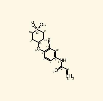 C=CC(=O)Nc1ccc(OC2CCS(=O)(=O)CC2)c(F)c1